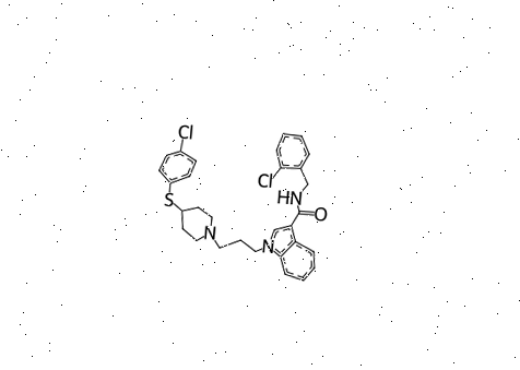 O=C(NCc1ccccc1Cl)c1cn(CCCN2CCC(Sc3ccc(Cl)cc3)CC2)c2ccccc12